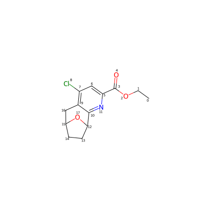 CCOC(=O)c1cc(Cl)c2c(n1)C1CCC(C2)O1